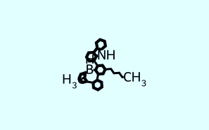 CCCCCc1cc2c(c(-c3cccc4c3[nH]c3ccccc34)c1)Bc1cccc(c1C)-c1ccccc1-2